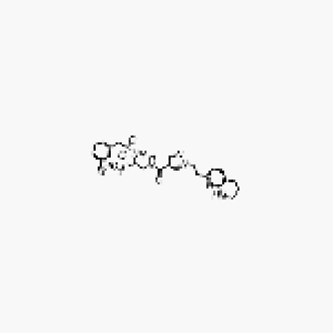 O=C(NCC(NS(=O)(=O)Cc1cccc(Br)c1)C(=O)O)c1cnn(CCc2ccc3c(n2)NCCC3)c1